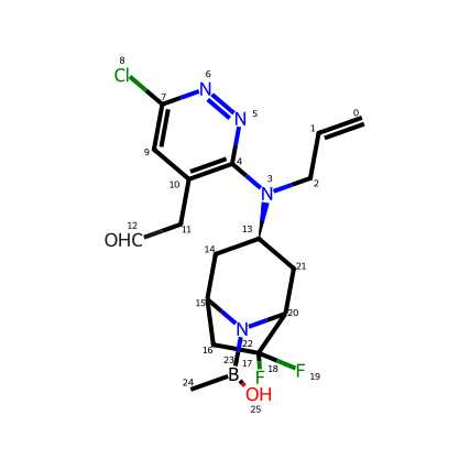 C=CCN(c1nnc(Cl)cc1CC=O)[C@@H]1CC2CC(F)(F)C(C1)N2B(C)O